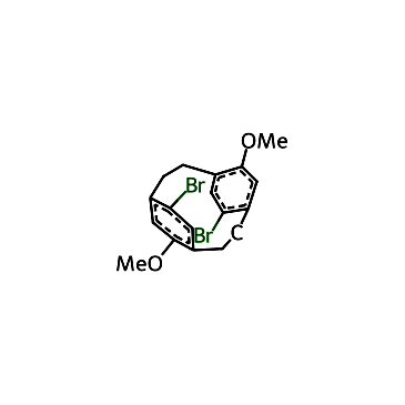 COc1cc2c(Br)cc1CCc1cc(OC)c(cc1Br)CC2